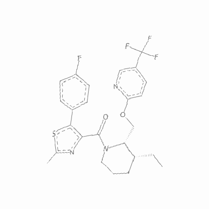 CC[C@@H]1CCCN(C(=O)c2nc(C)sc2-c2ccc(F)cc2)[C@@H]1COc1ccc(C(F)(F)F)cn1